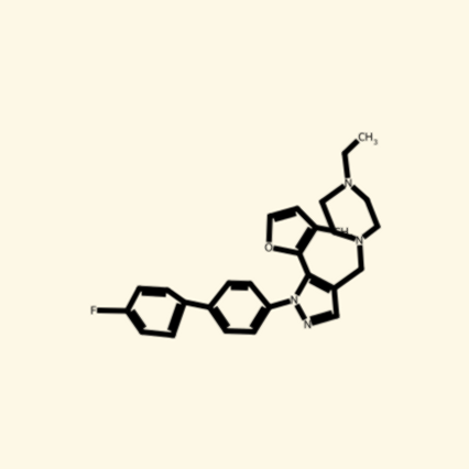 CCN1CCN(Cc2cnn(-c3ccc(-c4ccc(F)cc4)cc3)c2-c2occc2C)CC1